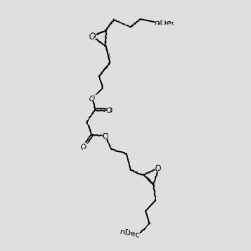 CCCCCCCCCCCCCC1OC1CCCOC(=O)CC(=O)OCCCC1OC1CCCCCCCCCCCCC